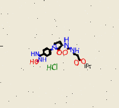 CC(C)OC(=O)CCNC(=O)N[C@H]1CCN(c2ccc(C(=N)NO)cc2)C1=O.Cl